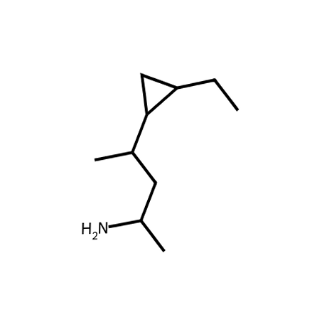 CCC1CC1C(C)CC(C)N